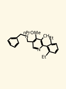 CCCN(Cc1ccccc1)Cc1cnc(-c2c(CC)cccc2CC)c(C)c1OC